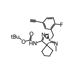 C#Cc1ccc(F)c(CS(=O)(=NC)C2(/C(=N\C)NC(=O)OC(C)(C)C)CCCC2)c1